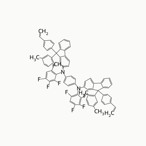 C=Cc1ccc(C2(c3cc(C)ccc3C)c3ccccc3-c3ccc(N(c4ccc(N(c5ccc6c(c5)C(c5ccc(C=C)cc5)(c5cc(C)ccc5C)c5ccccc5-6)c5c(F)cc(F)c(F)c5F)cc4)c4c(F)cc(F)c(F)c4F)cc32)cc1